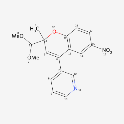 COC(OC)C1(C)C=C(c2cccnc2)c2cc([N+](=O)[O-])ccc2O1